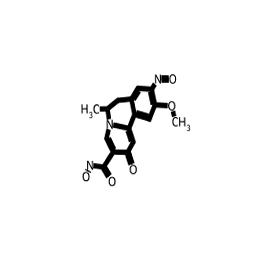 COc1cc2c(cc1N=O)CC(C)n1cc(C(=O)N=O)c(=O)cc1-2